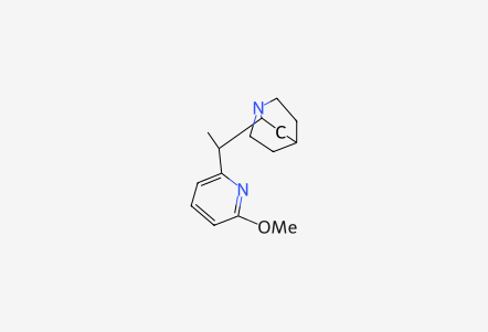 COc1cccc(C(C)C2CC3CCN2CC3)n1